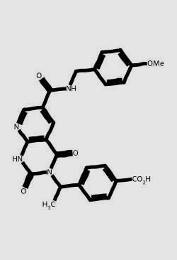 COc1ccc(CNC(=O)c2cnc3[nH]c(=O)n(C(C)c4ccc(C(=O)O)cc4)c(=O)c3c2)cc1